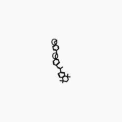 COc1ccc(COc2ccc(/C=C(\C)c3ccc4c(c3)C(C)(C)CCC4(C)C)cc2)cc1